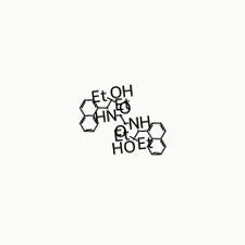 CCC(O)(CC)[C@H](NC(=O)C(=O)N[C@H](c1cccc2ccccc12)C(O)(CC)CC)c1cccc2ccccc12